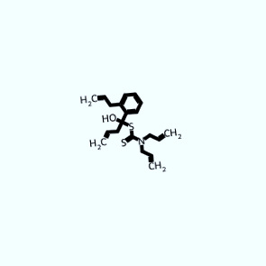 C=CCc1ccccc1C(O)(CC=C)SC(=S)N(CC=C)CC=C